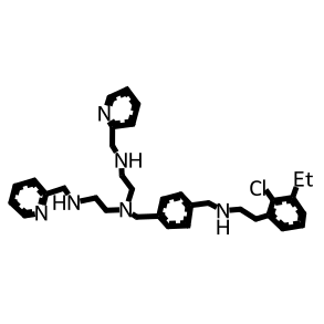 CCc1cccc(CCNCc2ccc(CN(CCNCc3ccccn3)CCNCc3ccccn3)cc2)c1Cl